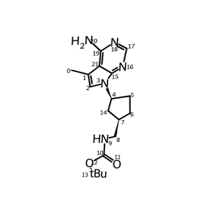 Cc1cn([C@H]2CC[C@@H](CNC(=O)OC(C)(C)C)C2)c2ncnc(N)c12